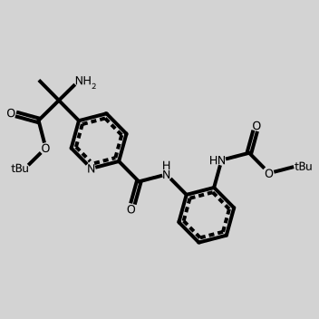 CC(C)(C)OC(=O)Nc1ccccc1NC(=O)c1ccc(C(C)(N)C(=O)OC(C)(C)C)cn1